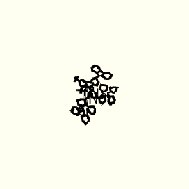 CC(C)(C)c1cc(C(C)(C)C)c2c(c1)c1cc(C3c4ccccc4-c4ccccc43)ccc1n2-c1nc(-c2cccc([Si](c3ccccc3)(c3ccccc3)c3ccccc3)c2)nc(-c2cccc([Si](c3ccccc3)(c3ccccc3)c3ccccc3)c2)n1